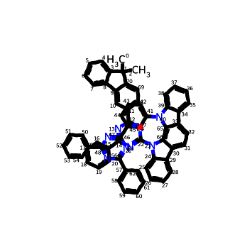 CC1(C)c2ccccc2-c2cc(-c3nc(-c4ccccc4)nc(-n4c5ccccc5c5ccc6c7ccccc7n(-c7cccc(-c8nc(-c9ccccc9)nc(-c9ccccc9)n8)c7)c6c54)n3)ccc21